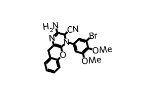 COc1cc(N2C3=C(Cc4ccccc4O3)N=C(N)C2C#N)cc(Br)c1OC